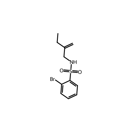 C=C(CC)CNS(=O)(=O)c1ccccc1Br